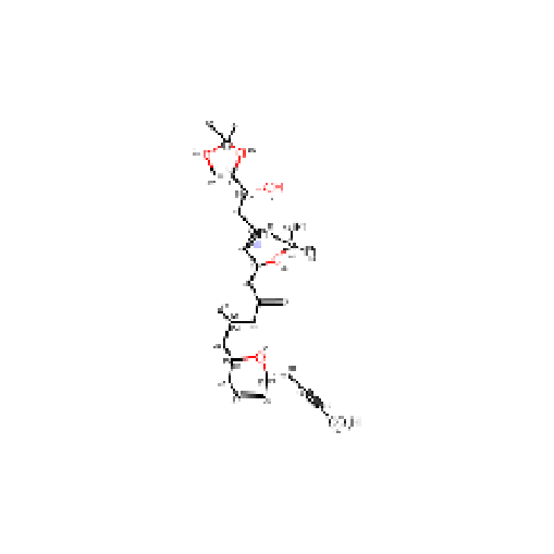 C=C(CC(/C=C/C[C@@H](O)[C@@H]1COC(C)(C)O1)O[Si](C(C)C)(C(C)C)C(C)C)C[C@H](C)C[C@@H]1CC=C[C@@H](CC#CC(=O)O)O1